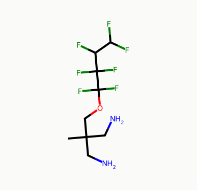 CC(CN)(CN)COC(F)(F)C(F)(F)C(F)C(F)F